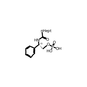 CCCCCCCC(=O)N[C@H](COP(=O)(O)O)c1ccccc1